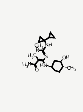 C=N/C(=N\C(N[C@@H]1CC[C@@H](C)[C@H](O)C1)=C(/C)C(N)=O)NC1(C2CC2)CC1